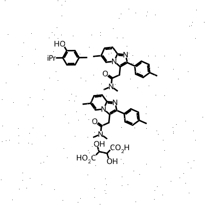 Cc1ccc(-c2nc3ccc(C)cn3c2CC(=O)N(C)C)cc1.Cc1ccc(-c2nc3ccc(C)cn3c2CC(=O)N(C)C)cc1.Cc1ccc(C(C)C)c(O)c1.O=C(O)C(O)C(O)C(=O)O